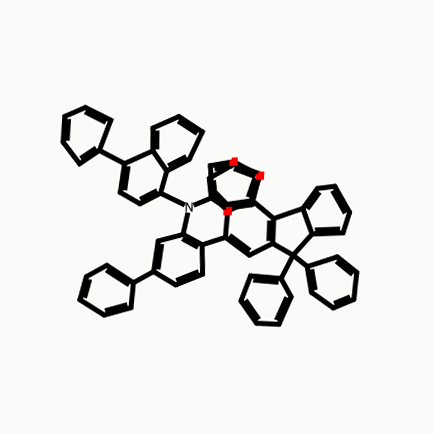 c1ccc(-c2ccc(-c3cc4c(c5ccccc35)-c3ccccc3C4(c3ccccc3)c3ccccc3)c(N(c3ccccc3)c3ccc(-c4ccccc4)c4ccccc34)c2)cc1